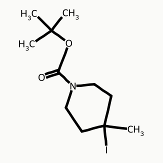 CC1(I)CCN(C(=O)OC(C)(C)C)CC1